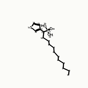 CCCCCCCCCCCC(c1ccsc1)P(=O)(O)O